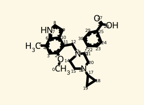 COc1cc(C)c2[nH]ccc2c1CN1CCN(C2CC2)C[C@H]1c1ccc(C(=O)O)cc1